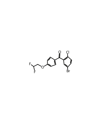 O=C(c1ccc(OCC(F)F)cc1)c1cc(Br)ccc1Cl